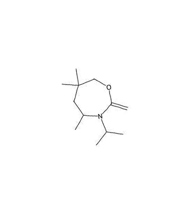 C=C1OCC(C)(C)CC(C)N1C(C)C